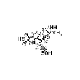 CC1NCc2cc(-c3ccc4c(=O)c(C(=O)O)cn(C5CC5)c4c3OC(F)F)ccc21.O=S(=O)(O)O